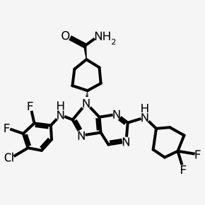 NC(=O)[C@H]1CC[C@H](n2c(Nc3ccc(Cl)c(F)c3F)nc3cnc(NC4CCC(F)(F)CC4)nc32)CC1